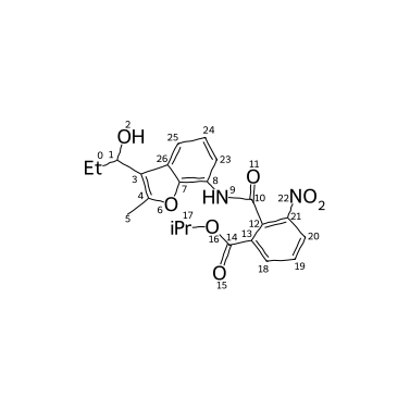 CCC(O)c1c(C)oc2c(NC(=O)c3c(C(=O)OC(C)C)cccc3[N+](=O)[O-])cccc12